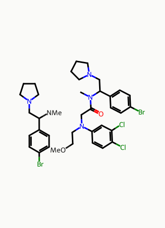 CNC(CN1CCCC1)c1ccc(Br)cc1.COCCN(CC(=O)N(C)C(CN1CCCC1)c1ccc(Br)cc1)c1ccc(Cl)c(Cl)c1